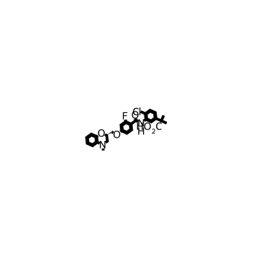 CN1C[C@@H](COc2ccc(C(=O)Nc3cc(C(C)(C)C(=O)O)ccc3Cl)c(F)c2)Oc2ccccc21